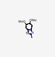 COc1cc2nc(C)[te]c2cc1OC